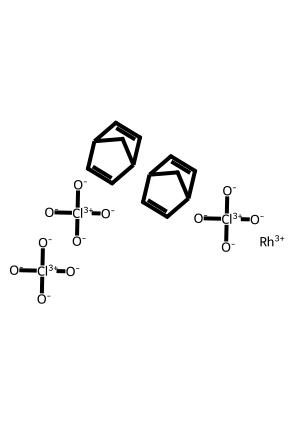 C1=CC2C=CC1C2.C1=CC2C=CC1C2.[O-][Cl+3]([O-])([O-])[O-].[O-][Cl+3]([O-])([O-])[O-].[O-][Cl+3]([O-])([O-])[O-].[Rh+3]